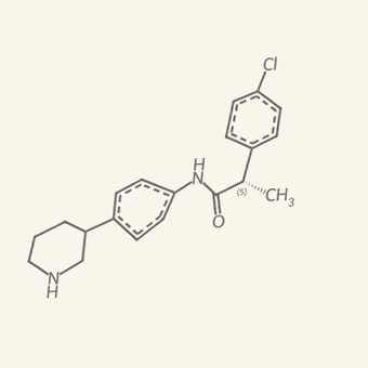 C[C@H](C(=O)Nc1ccc(C2CCCNC2)cc1)c1ccc(Cl)cc1